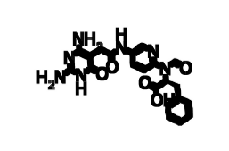 Nc1nc(N)c(CC(=O)Nc2ccc(N(C=O)[C@@H](Cc3ccccc3)C(=O)O)nc2)c(=O)[nH]1